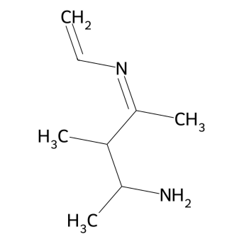 C=C/N=C(/C)C(C)C(C)N